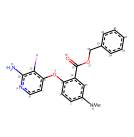 CNc1ccc(Oc2ccnc(N)c2I)c(C(=O)OCc2ccccc2)c1